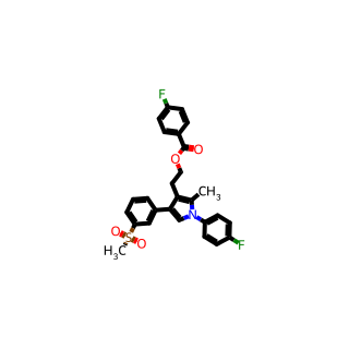 Cc1c(CCOC(=O)c2ccc(F)cc2)c(-c2cccc(S(C)(=O)=O)c2)cn1-c1ccc(F)cc1